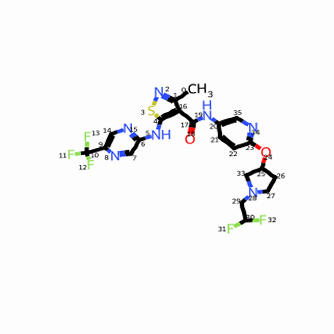 Cc1nsc(Nc2cnc(C(F)(F)F)cn2)c1C(=O)Nc1ccc(OC2CCN(CC(F)F)C2)nc1